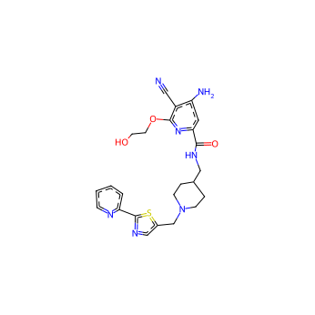 N#Cc1c(N)cc(C(=O)NCC2CCN(Cc3cnc(-c4ccccn4)s3)CC2)nc1OCCO